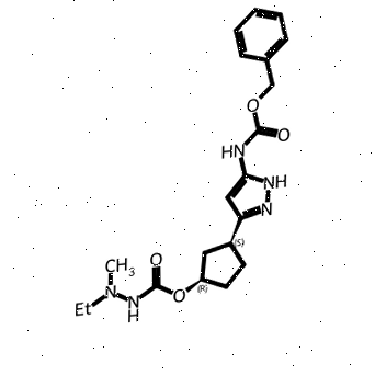 CCN(C)NC(=O)O[C@@H]1CC[C@H](c2cc(NC(=O)OCc3ccccc3)[nH]n2)C1